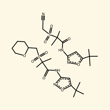 CC(C)(C)c1cc(NC(=O)C(C)(C)S(=O)(=O)CC#N)no1.CC(C)(C)c1cc(NC(=O)C(C)(C)S(=O)(=O)CC2CCCCO2)no1